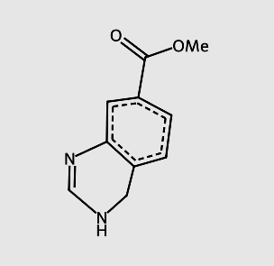 COC(=O)c1ccc2c(c1)N=CNC2